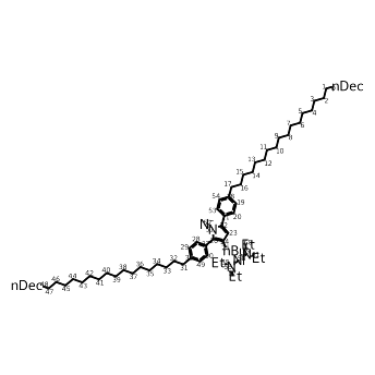 CCCCCCCCCCCCCCCCCCCCCCCCCCCc1ccc(C2=CC(CCCC)=C(c3ccc(CCCCCCCCCCCCCCCCCCCCCCCCCCC)cc3)[N+]2=[N-])cc1.CC[N](CC)[Ni][N](CC)CC